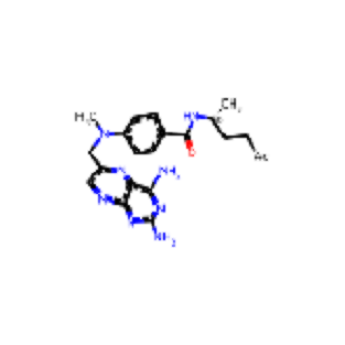 CC(=O)CC[C@@H](C)NC(=O)c1ccc(N(C)Cc2cnc3nc(N)nc(N)c3n2)cc1